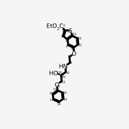 CCOC(=O)c1cc2cc(OCCNC[C@H](O)COc3ccccc3)ccc2s1